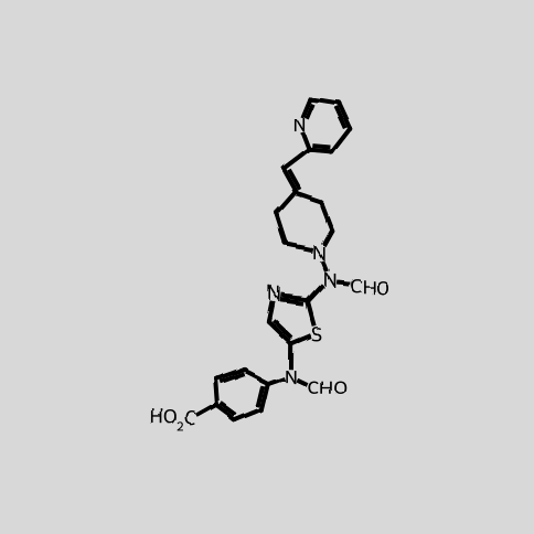 O=CN(c1ccc(C(=O)O)cc1)c1cnc(N(C=O)N2CCC(=Cc3ccccn3)CC2)s1